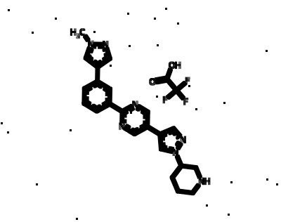 Cn1cc(-c2cccc(-c3ncc(-c4cnn(C5CCCNC5)c4)cn3)c2)cn1.O=C(O)C(F)(F)F